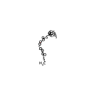 CCCCSCCC(=O)OCCOc1ccc(Cc2ccc(OCCOC(=O)CCSCCC[Si](C)(OC)OC)cc2)cc1